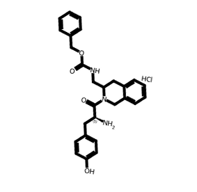 Cl.N[C@@H](Cc1ccc(O)cc1)C(=O)N1Cc2ccccc2CC1CNC(=O)OCc1ccccc1